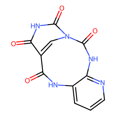 O=c1[nH]c(=O)n2cc1c(=O)[nH]c1cccnc1[nH]c2=O